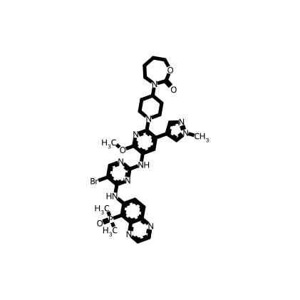 COc1nc(N2CCC(N3CCCCOC3=O)CC2)c(-c2cnn(C)c2)cc1Nc1ncc(Br)c(Nc2ccc3nccnc3c2P(C)(C)=O)n1